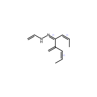 C=CN/N=C(/C=C\C)C(=C)/C=C\C